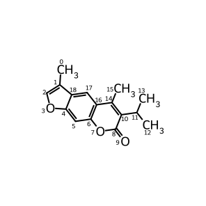 Cc1coc2cc3oc(=O)c(C(C)C)c(C)c3cc12